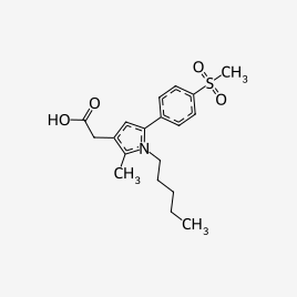 CCCCCn1c(-c2ccc(S(C)(=O)=O)cc2)cc(CC(=O)O)c1C